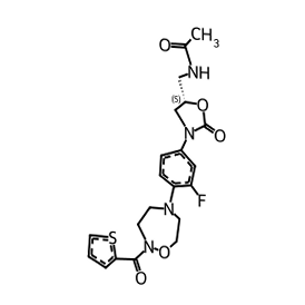 CC(=O)NC[C@H]1CN(c2ccc(N3CCON(C(=O)c4cccs4)CC3)c(F)c2)C(=O)O1